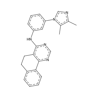 Cc1ncn(-c2cccc(Nc3ncnc4c3CCc3ccccc3-4)c2)c1C